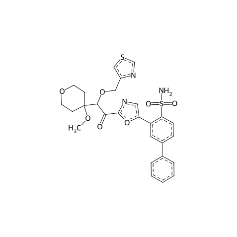 COC1(C(OCc2cscn2)C(=O)c2ncc(-c3cc(-c4ccccc4)ccc3S(N)(=O)=O)o2)CCOCC1